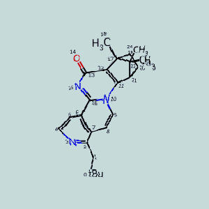 CC(C)(C)Cc1nccc2c1ccn1c3c(c(=O)nc21)C1(C)CCC3C1(C)C